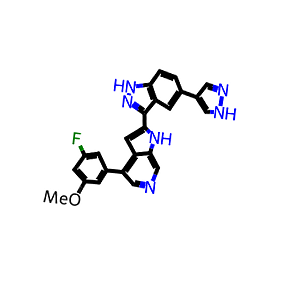 COc1cc(F)cc(-c2cncc3[nH]c(-c4n[nH]c5ccc(-c6cn[nH]c6)cc45)cc23)c1